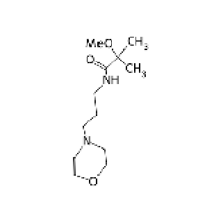 COC(C)(C)C(=O)NCCCN1CCOCC1